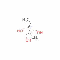 C/C=C(\CO)C(C)(CO)CO